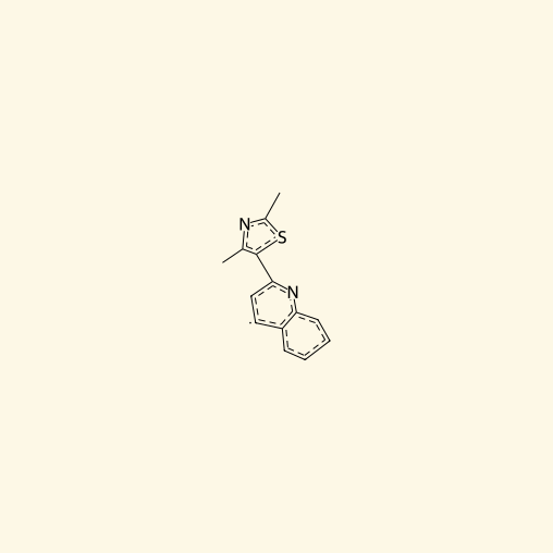 Cc1nc(C)c(-c2c[c]c3ccccc3n2)s1